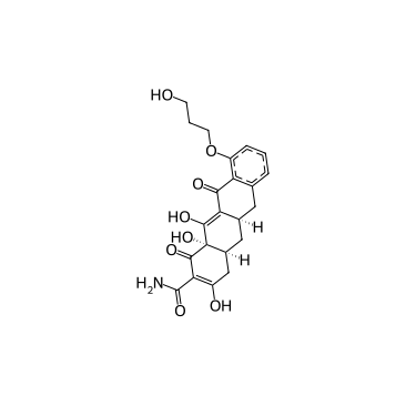 NC(=O)C1=C(O)C[C@@H]2C[C@@H]3Cc4cccc(OCCCO)c4C(=O)C3=C(O)[C@]2(O)C1=O